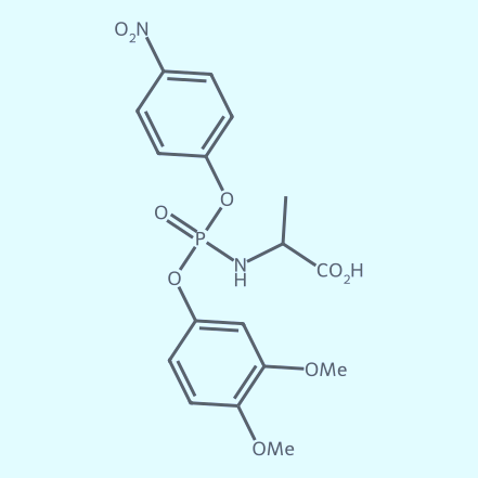 COc1ccc(OP(=O)(NC(C)C(=O)O)Oc2ccc([N+](=O)[O-])cc2)cc1OC